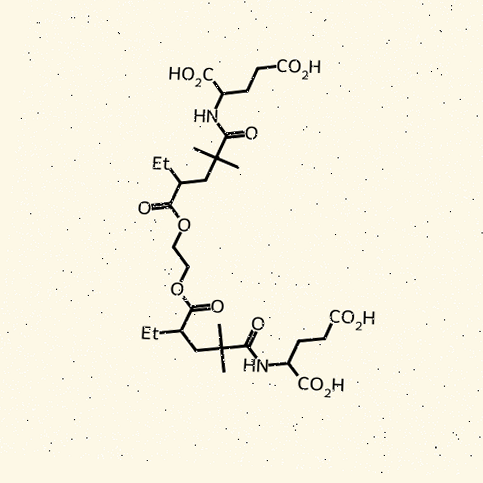 CCC(CC(C)(C)C(=O)NC(CCC(=O)O)C(=O)O)C(=O)OCCOC(=O)C(CC)CC(C)(C)C(=O)NC(CCC(=O)O)C(=O)O